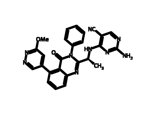 COc1cc(-c2cccc3nc([C@H](C)Nc4nc(N)ncc4C#N)n(-c4ccccc4)c(=O)c23)cnn1